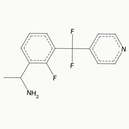 CC(N)c1cccc(C(F)(F)c2ccncc2)c1F